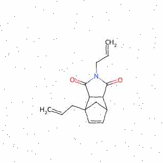 C=CCN1C(=O)C2C3C=CC(CC=C)(C3)C2C1=O